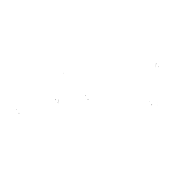 N#CC1(C(=O)Nc2nc(-c3c[nH]c4ncccc34)cs2)CC1